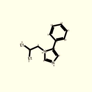 CCC(CC)Cn1cncc1-c1ccccc1